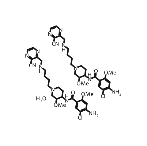 COc1cc(N)c(Cl)cc1C(=O)NC1CCN(CCCCNCc2nccnc2C#N)CC1OC.COc1cc(N)c(Cl)cc1C(=O)NC1CCN(CCCCNCc2nccnc2C#N)CC1OC.O